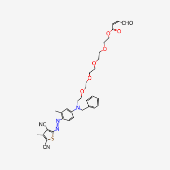 Cc1cc(N(CCOCCOCCOCCOCCOC(=O)/C=C\C=O)Cc2ccccc2)ccc1/N=N/c1sc(C#N)c(C)c1C#N